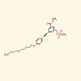 COCCOCCOCCOc1ccc(C#Cc2cc(COS(C)(=O)=O)nc(C(=O)OC)c2)cc1